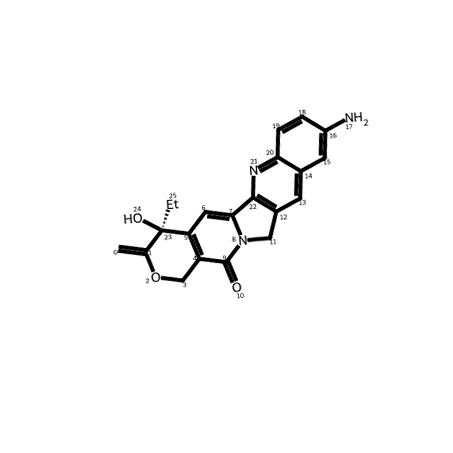 C=C1OCc2c(cc3n(c2=O)Cc2cc4cc(N)ccc4nc2-3)[C@@]1(O)CC